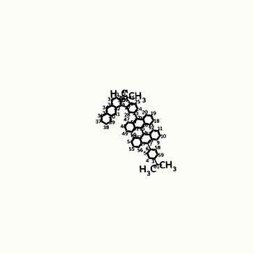 CC(C)c1ccc(-c2c3ccccc3c(-c3c4ccccc4c(-c4ccc5c(c4)-c4c(ccc6cc7ccccc7cc46)[Si]5(C)C)c4ccccc34)c3ccccc23)cc1